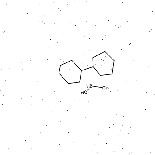 C1CCC(C2CCCCC2)CC1.OBO